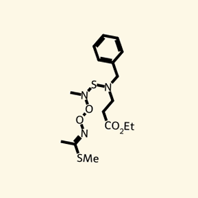 CCOC(=O)CCN(Cc1ccccc1)SN(C)OON=C(C)SC